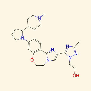 Cc1nc(-c2cn3c(n2)-c2ccc(N4CCCC4C4CCN(C)CC4)cc2OCC3)n(CCO)n1